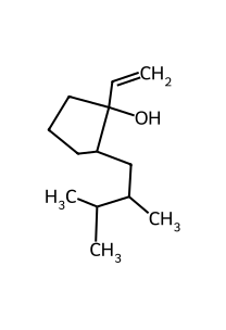 C=CC1(O)CCCC1CC(C)C(C)C